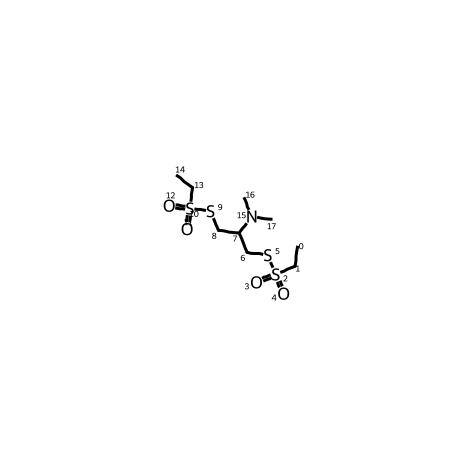 CCS(=O)(=O)SCC(CSS(=O)(=O)CC)N(C)C